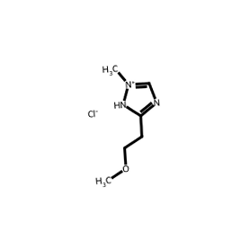 COCCc1nc[n+](C)[nH]1.[Cl-]